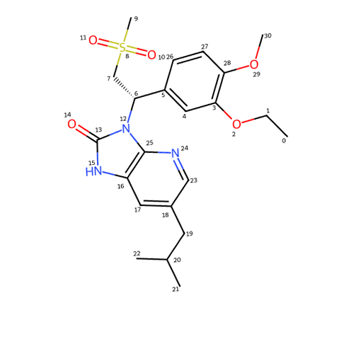 CCOc1cc([C@@H](CS(C)(=O)=O)n2c(=O)[nH]c3cc(CC(C)C)cnc32)ccc1OC